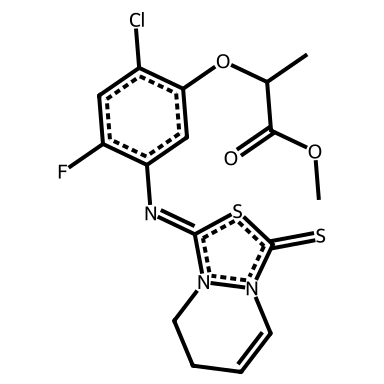 COC(=O)C(C)Oc1cc(N=c2sc(=S)n3n2CCC=C3)c(F)cc1Cl